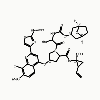 C=CC1C[C@]1(NC(=O)C1C[C@@H](Oc2cc(-c3csc(NC(C)C)n3)nc3c(Cl)c(OC)ccc23)CN1C(=O)C(NC(=O)O[C@H]1C[C@H]2CC[C@@H](C1)O2)C(C)(C)C)C(=O)O